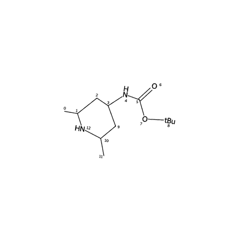 CC1CC(NC(=O)OC(C)(C)C)CC(C)N1